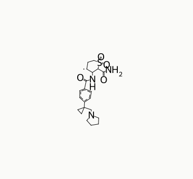 NC(=O)C1C(NC(=O)c2ccc(C3(CN4CCCC4)CC3)cc2)[CH]CCS1(=O)=O